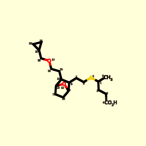 CC(CCC(=O)O)SCCC1C2CCC(O2)C1CCOCC1CC1